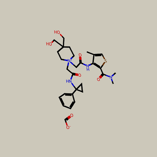 Cc1csc(C(=O)N(C)C)c1NC(=O)C[N+]1(CC(=O)NC2(c3ccccc3)CC2)CCC(CO)(CO)CC1.O=C[O-]